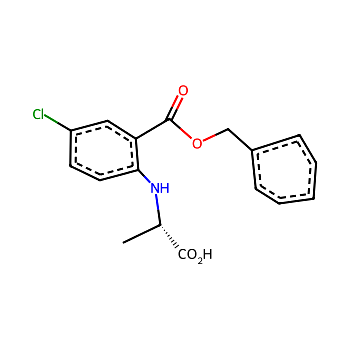 C[C@H](Nc1ccc(Cl)cc1C(=O)OCc1ccccc1)C(=O)O